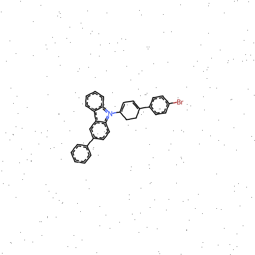 Brc1ccc(C2=CC=C(n3c4ccccc4c4cc(-c5ccccc5)ccc43)CC2)cc1